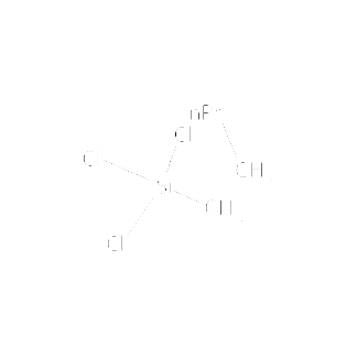 CCCC.C[Si](Cl)(Cl)Cl